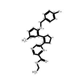 CCOC(=O)c1cncc(C2=C(c3cc(C)ccc3OCc3ccc(F)cc3)CCC2)n1